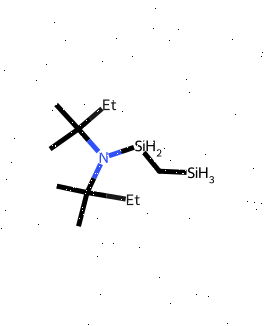 CCC(C)(C)N([SiH2]C[SiH3])C(C)(C)CC